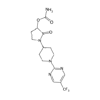 NC(=O)OC1CCN(C2CCN(c3ncc(C(F)(F)F)cn3)CC2)C1=O